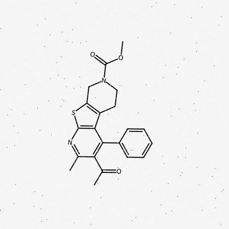 COC(=O)N1CCc2c(sc3nc(C)c(C(C)=O)c(-c4ccccc4)c23)C1